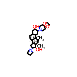 C[C@]12CC(N3CCC4(CC3)OCCO4)C(O)CC1CC[C@@H]1[C@H]2CC[C@]2(C)C(O)C(N3CCCC3)C[C@@H]12